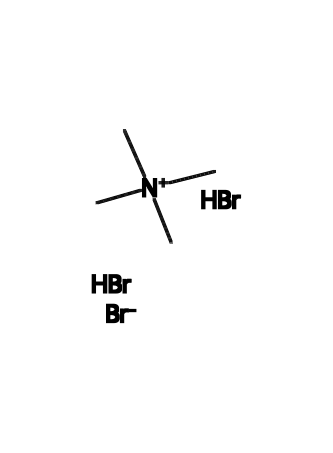 Br.Br.C[N+](C)(C)C.[Br-]